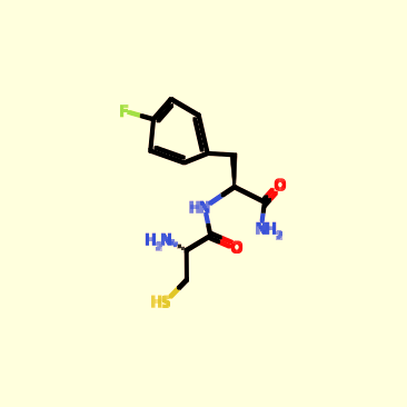 NC(=O)[C@H](Cc1ccc(F)cc1)NC(=O)[C@@H](N)CS